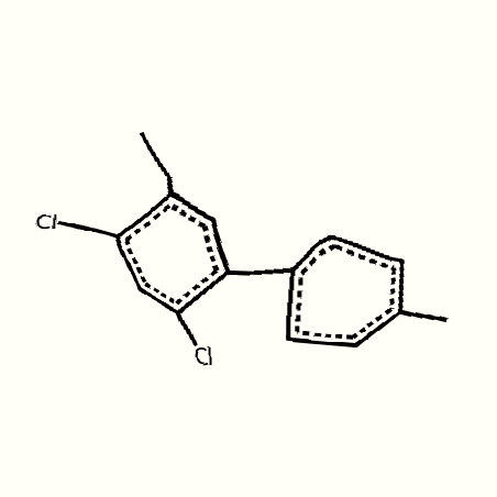 Cc1ccc(-c2cc(C)c(Cl)cc2Cl)cc1